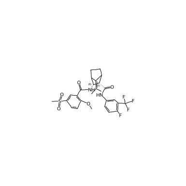 COc1ccc(S(C)(=O)=O)cc1C(=O)N[C@@H]1C2CCC(C2=C(C)C)[C@@H]1C(=O)Nc1ccc(F)c(C(F)(F)F)c1